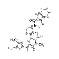 CC(=O)OCc1c(-c2cc(Nc3cc(C)n(C)n3)c(=O)n(C)c2)cccc1N1CCn2c(cc3c2CCCC3)C1=O